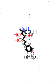 CCCCCCCOc1ccc(CCC(O)C(O)C(O)C(C)(N)C(=O)O)cc1